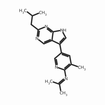 CC(C)=Nc1ncc(-c2c[nH]c3nc(CC(C)C)ncc23)cc1C